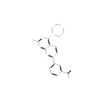 CNC(=O)c1cccc(-c2ccc3c(N4CCOCC4)nc(Cl)nc3n2)c1